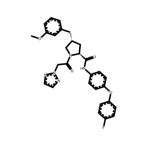 COc1cccc(C[C@@H]2C[C@@H](C(=O)Nc3ccc(Oc4ccc(F)cc4)cc3)N(C(=O)Cn3nccn3)C2)c1